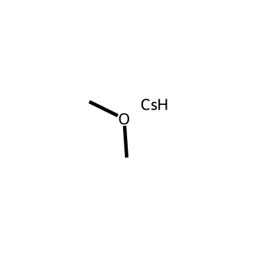 COC.[CsH]